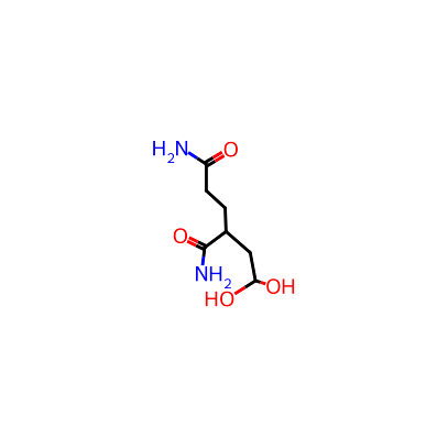 NC(=O)CCC(CC(O)O)C(N)=O